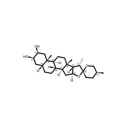 C[C@H]1CC[C@@]2(OC1)O[C@H]1C[C@H]3[C@@H]4CC[C@@H]5C[C@@H](O)[C@@H](O)C[C@]5(C)[C@H]4CC[C@]3(C)[C@@H]1[C@@H]2C